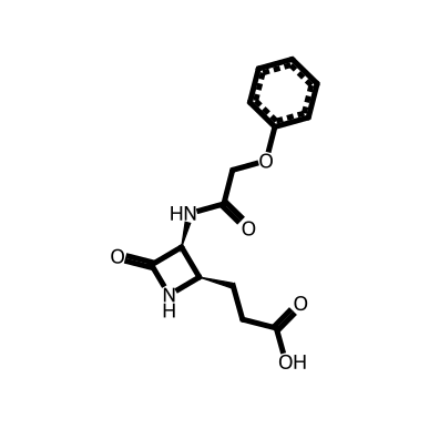 O=C(O)CC[C@H]1NC(=O)[C@H]1NC(=O)COc1ccccc1